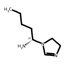 CCCC[C@@H](N)N1C=NCC1